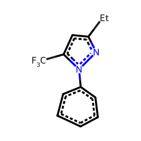 CCc1cc(C(F)(F)F)n(-c2ccccc2)n1